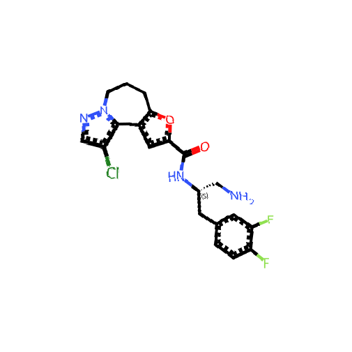 NC[C@H](Cc1ccc(F)c(F)c1)NC(=O)c1cc2c(o1)CCCn1ncc(Cl)c1-2